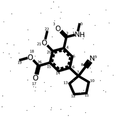 CNC(=O)c1cc(C2(C#N)CCCC2)cc(C(=O)OC)c1OC